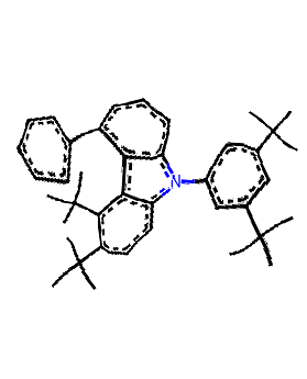 CC(C)(C)c1cc(-n2c3cccc(-c4ccccc4)c3c3c(C(C)(C)C)c(C(C)(C)C)ccc32)cc(C(C)(C)C)c1